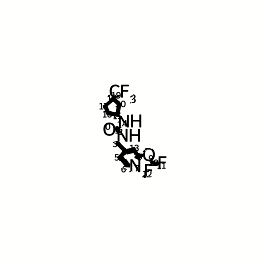 O=C(NCc1ccnc(OC(F)F)c1)N[C@@H]1CC[C@H](C(F)(F)F)C1